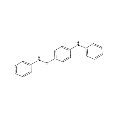 c1ccc(NOc2ccc(Nc3ccccc3)cc2)cc1